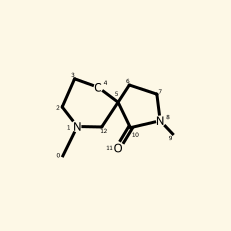 CN1CCCC2(CCN(C)C2=O)C1